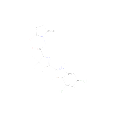 C=C1CCC(=O)N1CC(=O)C1N=C(c2nc3cc(Cl)cc(Cl)c3s2)SC1(C)C